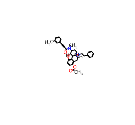 CC(=O)Oc1ccc2c3c1C[C@@H]1[C@@H]4CC[C@H](N(C)C(=O)C#Cc5cccc(C)c5)[C@H](O2)[C@]34CCN1CCc1ccccc1